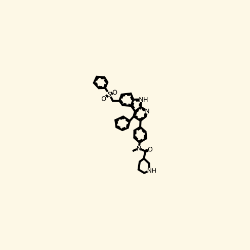 CN(C(=O)C1CCCNC1)c1ccc(-c2cnc3[nH]c4ccc(CS(=O)(=O)c5ccccc5)cc4c3c2-c2ccccc2)cc1